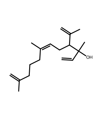 C=CC(C)(O)C(CC=C(C)CCCC(=C)C)C(=C)C